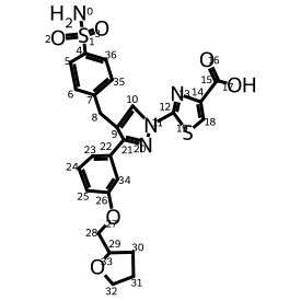 NS(=O)(=O)c1ccc(Cc2cn(-c3nc(C(=O)O)cs3)nc2-c2cccc(OCC3CCCO3)c2)cc1